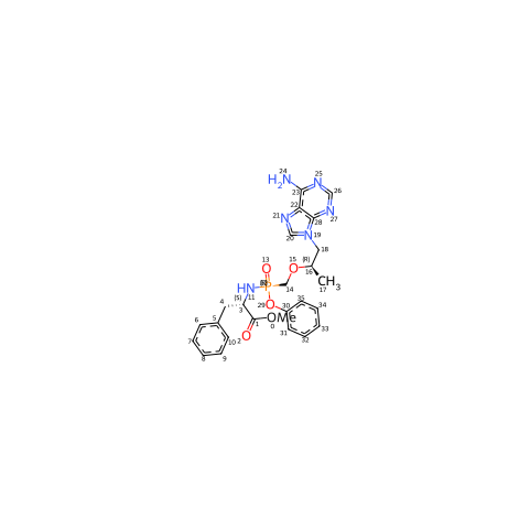 COC(=O)[C@H](Cc1ccccc1)N[P@@](=O)(CO[C@H](C)Cn1cnc2c(N)ncnc21)Oc1ccccc1